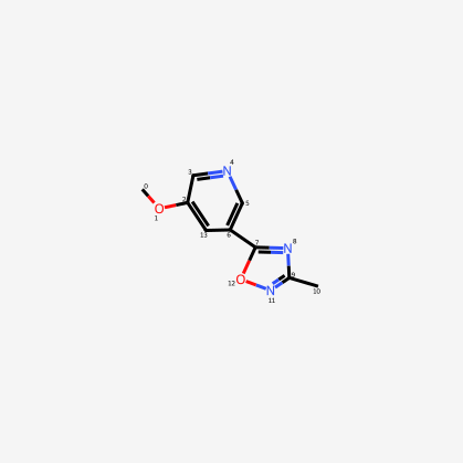 COc1cncc(-c2nc(C)no2)c1